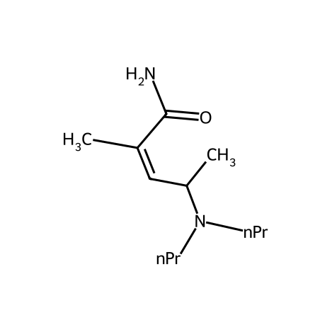 CCCN(CCC)C(C)C=C(C)C(N)=O